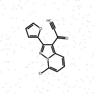 C#CC(=O)c1c(-c2ccco2)nn2c(Cl)cccc12